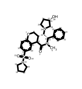 CN(C(=O)C1CCOc2ccc(S(=O)(=O)N3CCCC3)cc21)[C@H](CN1CC[C@H](O)C1)c1ccccc1